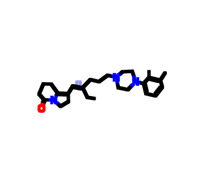 CC/C(=C\C1=C2CCCC(=O)N2CC1)CCCN1CCN(c2cccc(C)c2C)CC1